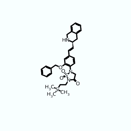 C[Si](C)(C)CCN1C(=O)CN(c2ccc(C=C[C@@H]3Cc4ccccc4CN3)cc2OCc2ccccc2)S1(=O)=O